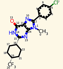 Cn1c(-c2ccc(Cl)cc2)nc2c(=O)[nH]c([C@H]3CC[C@@H](C(F)(F)F)CC3)nc21